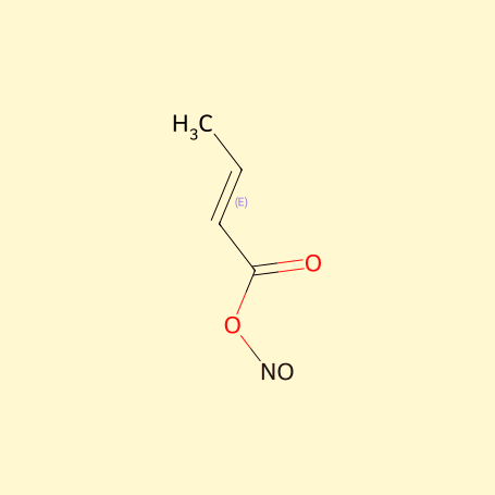 C/C=C/C(=O)ON=O